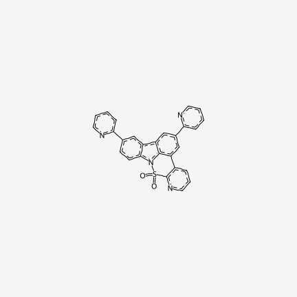 O=S1(=O)c2ncccc2-c2cc(-c3ccccn3)cc3c4cc(-c5ccccn5)ccc4n1c23